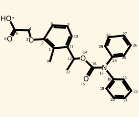 Cc1c(OCC(=O)O)cccc1C(C)OC(=O)N(c1ccccc1)c1ccccc1